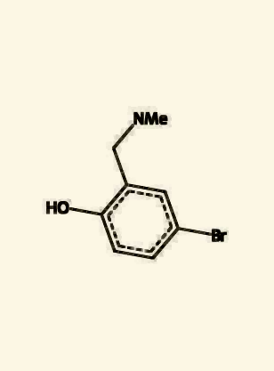 CNCc1cc(Br)ccc1O